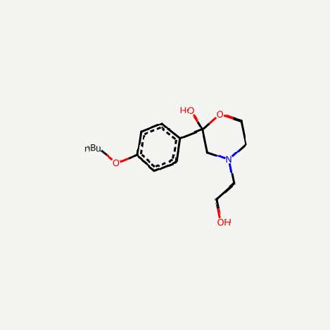 CCCCOc1ccc(C2(O)CN(CCO)CCO2)cc1